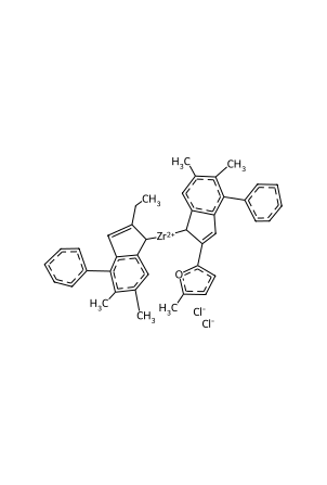 CCC1=Cc2c(cc(C)c(C)c2-c2ccccc2)[CH]1[Zr+2][CH]1C(c2ccc(C)o2)=Cc2c1cc(C)c(C)c2-c1ccccc1.[Cl-].[Cl-]